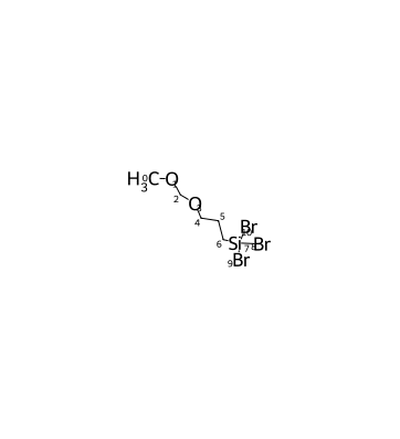 COCOCCC[Si](Br)(Br)Br